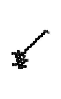 CCCCCCCCCCCCCCCCNC(=O)C(O)C(O)C(CCO)OC1OC(CO)C(O)C(O)C1O